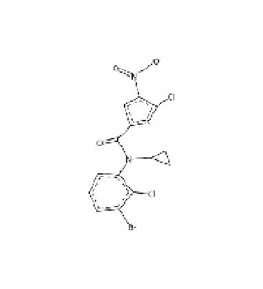 O=C(c1cc([N+](=O)[O-])c(Cl)s1)N(c1cccc(Br)c1Cl)C1CC1